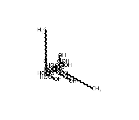 CCCCCCCCCCCCCCCCOCCOCC1OC(O[C@@H]2C(COCCCOCCO)OC(O[C@@H]3C(COCCOCCCCCCCCCCCCCCCC)OC(O)[C@@H](O)[C@H]3OCCO)[C@@H](O)[C@H]2O)[C@@H](OCCO)[C@@H](O)[C@@H]1O